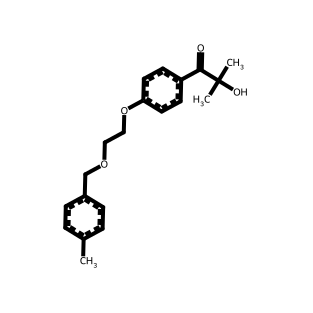 Cc1ccc(COCCOc2ccc(C(=O)C(C)(C)O)cc2)cc1